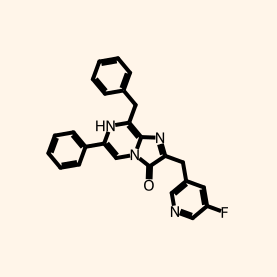 O=c1c(Cc2cncc(F)c2)nc2c(Cc3ccccc3)[nH]c(-c3ccccc3)cn1-2